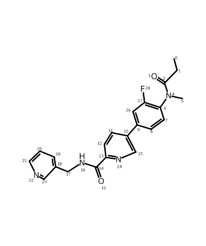 CCC(=O)N(C)c1ccc(-c2ccc(C(=O)NCc3cccnc3)nc2)cc1F